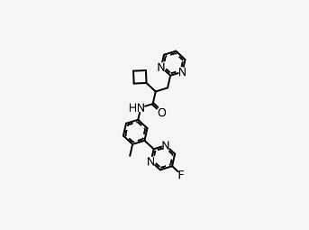 Cc1ccc(NC(=O)C(Cc2ncccn2)C2CCC2)cc1-c1ncc(F)cn1